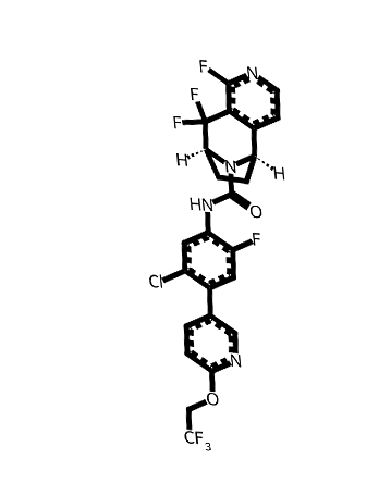 O=C(Nc1cc(Cl)c(-c2ccc(OCC(F)(F)F)nc2)cc1F)N1[C@@H]2CC[C@H]1C(F)(F)c1c2ccnc1F